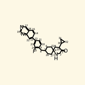 O=C1CNC2(CCC(Cc3ccc(-c4ccc5cncnc5c4)cc3F)CC2)CC1C1CC1